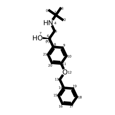 CC(C)(C)NC[C@H](O)c1ccc(OCc2ccccc2)cc1